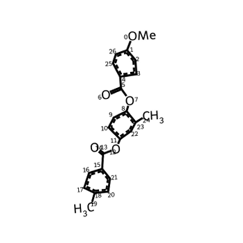 COc1ccc(C(=O)Oc2ccc(OC(=O)c3ccc(C)cc3)cc2C)cc1